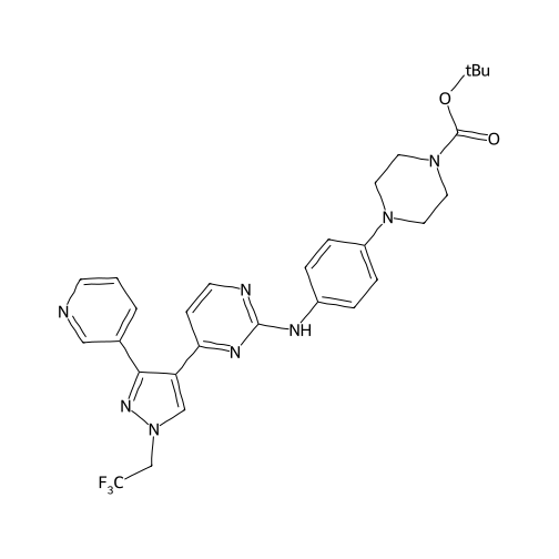 CC(C)(C)OC(=O)N1CCN(c2ccc(Nc3nccc(-c4cn(CC(F)(F)F)nc4-c4cccnc4)n3)cc2)CC1